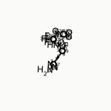 Nc1ncc(C#Cc2ccc(F)c(C(=O)Nc3cc(C(=O)N4CCS(=O)(=O)CC4)cc(C(F)(F)F)c3)c2)cn1